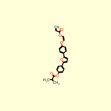 C=CC(=O)O/C=C\Oc1ccc(-c2ccc(-c3ccc(OC(=O)C(=C)C)cc3)o2)cc1